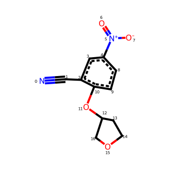 N#Cc1cc([N+](=O)[O-])ccc1OC1CCOC1